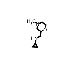 CN1CCOC(CNC2CC2)C1